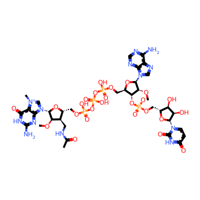 CO[C@@H]1[C@H](CNC(C)=O)[C@@H](COP(=O)(O)OP(=O)(O)OP(=O)(O)OC[C@H]2O[C@@H](n3cnc4c(N)ncnc43)[C@H](OC)[C@@H]2OP(=O)([O-])OC[C@H]2O[C@@H](n3ccc(=O)[nH]c3=O)[C@H](O)[C@@H]2O)O[C@H]1n1c[n+](C)c2c(=O)[nH]c(N)nc21